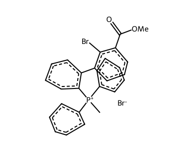 COC(=O)c1cccc(-c2ccccc2[P+](C)(c2ccccc2)c2ccccc2)c1Br.[Br-]